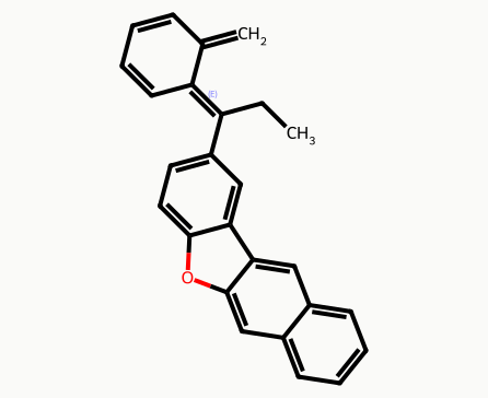 C=c1cccc/c1=C(/CC)c1ccc2oc3cc4ccccc4cc3c2c1